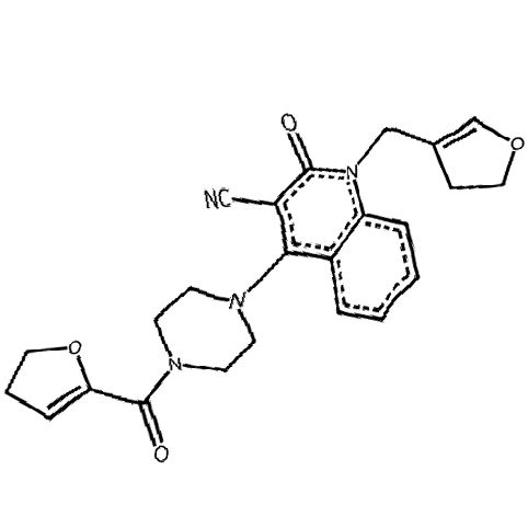 N#Cc1c(N2CCN(C(=O)C3=CCCO3)CC2)c2ccccc2n(CC2=COCC2)c1=O